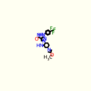 COC1CN([C@H]2CC[C@H](n3cc(C(N)=O)c(Nc4ccc(C(F)(F)F)cc4)n3)C(=N)C2)C1